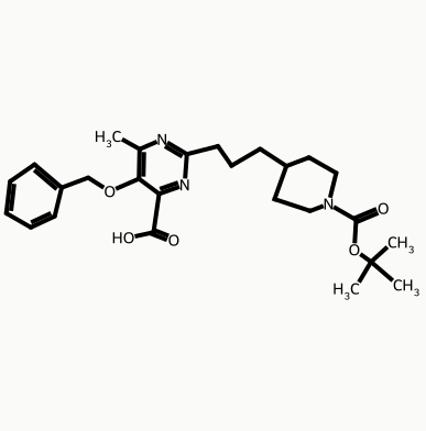 Cc1nc(CCCC2CCN(C(=O)OC(C)(C)C)CC2)nc(C(=O)O)c1OCc1ccccc1